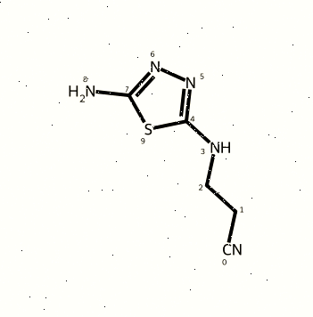 N#CCCNc1nnc(N)s1